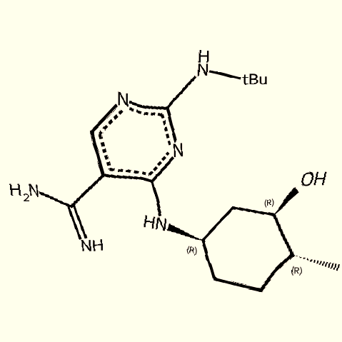 C[C@@H]1CC[C@@H](Nc2nc(NC(C)(C)C)ncc2C(=N)N)C[C@H]1O